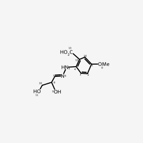 COc1ccc(N/N=C/C(O)CO)c(C(=O)O)c1